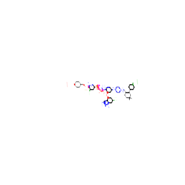 CC1(C)CCC(CN2CCN(c3ccc(C(=O)NS(=O)(=O)c4cnc(OCC5CCC(O)CC5)c(Cl)c4)c(Oc4cc(F)cc5[nH]ncc45)c3)CC2)=C(c2ccc(Cl)cc2)C1